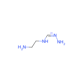 NCCN/C=N\N